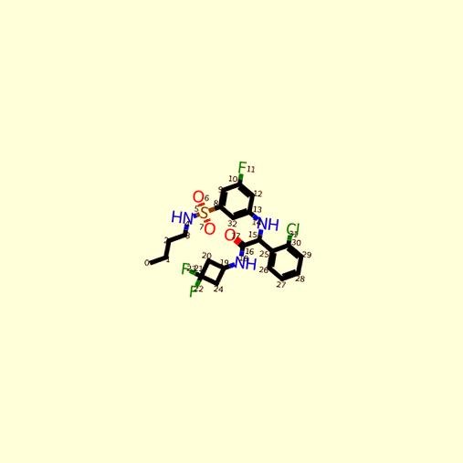 CCCCNS(=O)(=O)c1cc(F)cc(NC(C(=O)NC2CC(F)(F)C2)c2ccccc2Cl)c1